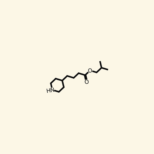 CC(C)COC(=O)CCCC1CCNCC1